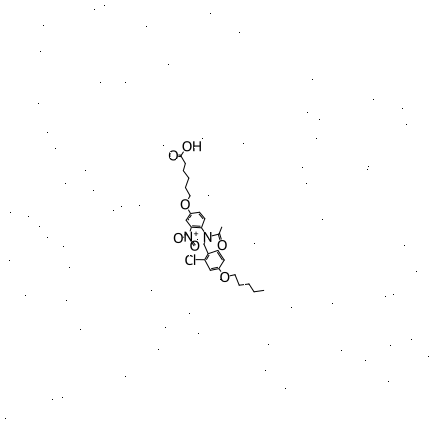 CCCCCOc1ccc(CN(C(C)=O)c2ccc(OCCCCCC(=O)O)cc2[N+](=O)[O-])c(Cl)c1